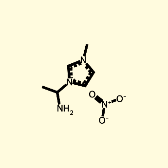 CC(N)[n+]1ccn(C)c1.O=[N+]([O-])[O-]